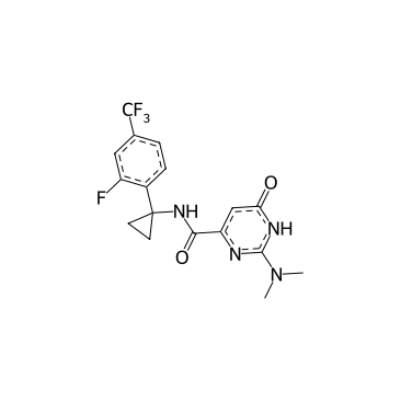 CN(C)c1nc(C(=O)NC2(c3ccc(C(F)(F)F)cc3F)CC2)cc(=O)[nH]1